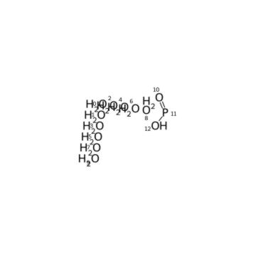 O.O.O.O.O.O.O.O.O.O.O=PO